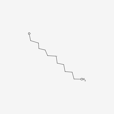 CCCCCC[CH]CCCCC[O]